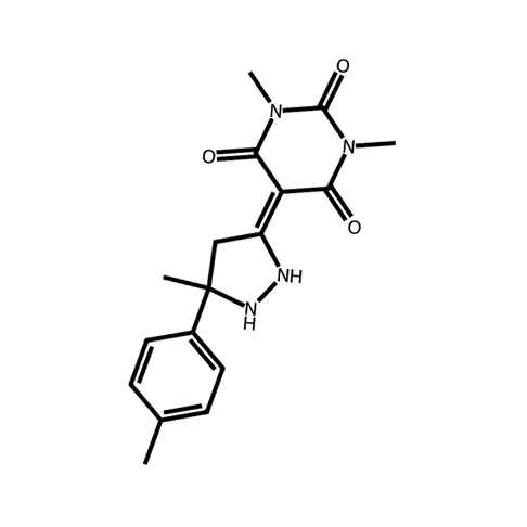 Cc1ccc(C2(C)CC(=C3C(=O)N(C)C(=O)N(C)C3=O)NN2)cc1